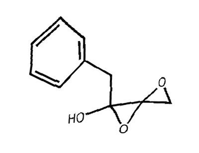 OC1(Cc2ccccc2)OC12CO2